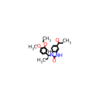 CCOc1cc([C@H](CC)N2C(=O)NC3=CC(C(=O)CC)=CC[C@@H]32)ccc1OC